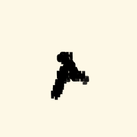 CC(C)(C)c1ccc(C(=O)N[C@@H](Cc2ccc(-c3ncc(-c4ccc(-c5ccc(C(F)F)c(F)c5F)cc4F)cn3)cc2)C(=O)N2CC(C(=O)O)C2)s1